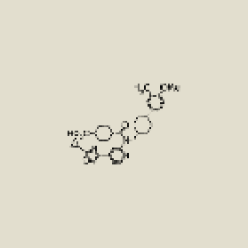 COc1ccc([C@H]2CC[C@H](CN(c3cc(-c4coc(C5CC5)n4)ccn3)C(=O)[C@H]3CC[C@H](C(=O)O)CC3)CC2)cc1C